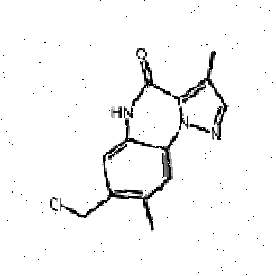 Cc1cc2c(cc1CCl)[nH]c(=O)c1c(C)cnn12